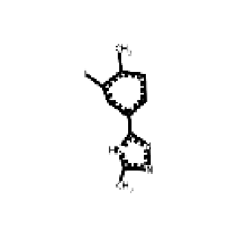 Cc1nnc(-c2ccc(C)c(I)c2)[nH]1